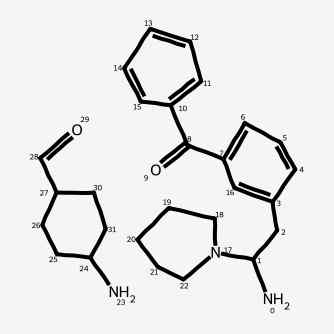 NC(Cc1cccc(C(=O)c2ccccc2)c1)N1CCCCC1.NC1CCC(C=O)CC1